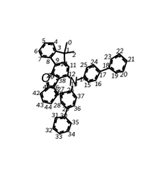 CC1(C)c2ccccc2-c2c1cc(N(c1ccc(-c3ccccc3)cc1)c1ccc(-c3ccccc3)cc1)c1c2oc2ccccc21